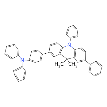 CC1(C)c2cc(-c3ccccc3)ccc2N(c2ccccc2)c2ccc(-c3ccc(N(c4ccccc4)c4ccccc4)cc3)cc21